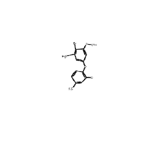 CC(=O)OOc1cc(Oc2ccc(C(F)(F)F)cc2Cl)cc(C)c1Br